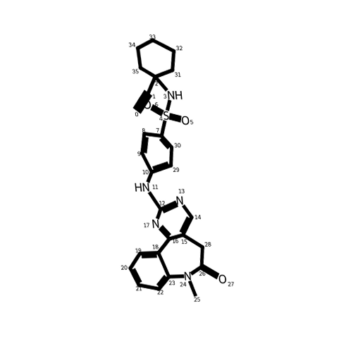 C#CC1(NS(=O)(=O)c2ccc(Nc3ncc4c(n3)-c3ccccc3N(C)C(=O)C4)cc2)CCCCC1